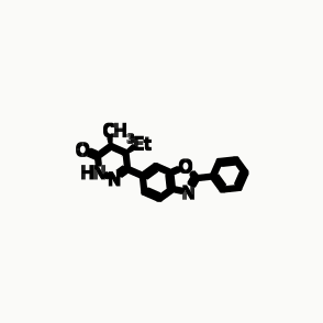 CC[C@H]1C(c2ccc3nc(-c4ccccc4)oc3c2)=NNC(=O)[C@H]1C